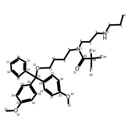 CCCNCCCN(CCCCOC(c1ccccc1)(c1ccc(OC)cc1)c1ccc(OC)cc1)C(=O)C(F)(F)F